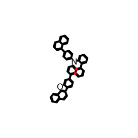 c1ccc(-c2ccccc2N(c2ccc(-c3ccc4c(c3)oc3c5ccccc5ccc43)cc2)c2ccc(-c3cccc4ccccc34)cc2)cc1